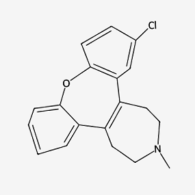 CN1CCC2=C(CC1)c1cc(Cl)ccc1Oc1ccccc12